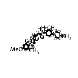 COc1cc(C)c(S(=O)(=O)Cc2nnc(CC(=O)NC3CCC(N4CCN(C)CC4)CC3(C)C)o2)c(C)c1